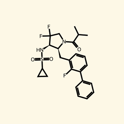 CC(C)C(=O)N1CC(F)(F)[C@H](NS(=O)(=O)C2CC2)[C@@H]1Cc1cccc(-c2ccccc2)c1F